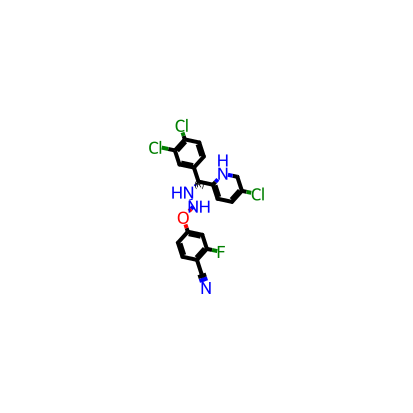 N#Cc1ccc(ONN[C@@H](C2=CC=C(Cl)CN2)c2ccc(Cl)c(Cl)c2)cc1F